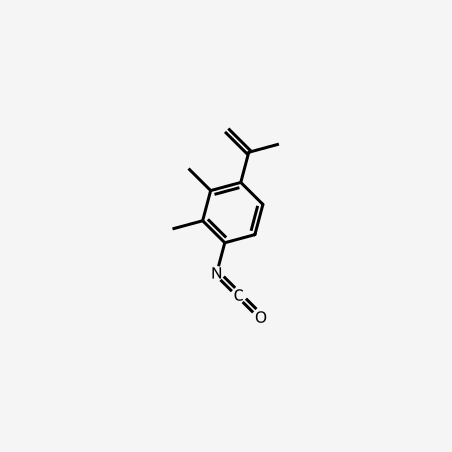 C=C(C)c1ccc(N=C=O)c(C)c1C